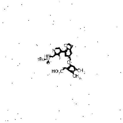 Cc1cc(CC(=O)O)c(OCc2cc(-c3ccnc(CN[S+]([O-])C(C)(C)C)c3F)c3occc3c2)cc1C